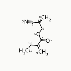 C=C(C#N)COC(=O)C(C)CC